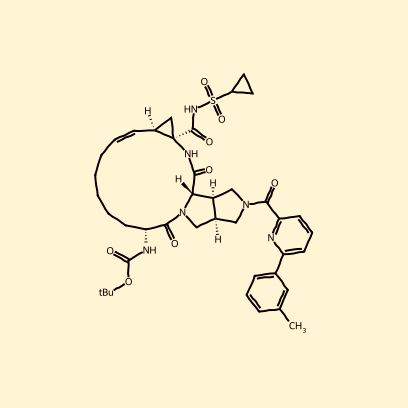 Cc1cccc(-c2cccc(C(=O)N3C[C@H]4CN5C(=O)[C@H](NC(=O)OC(C)(C)C)CCCCC/C=C\[C@H]6C[C@@]6(C(=O)NS(=O)(=O)C6CC6)NC(=O)[C@@H]5[C@H]4C3)n2)c1